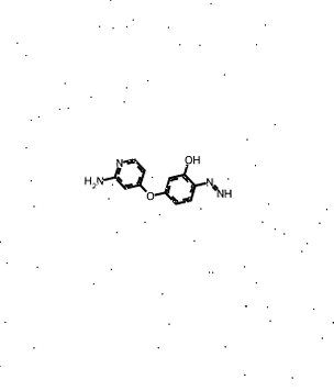 N=Nc1ccc(Oc2ccnc(N)c2)cc1O